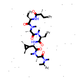 CC(=O)[C@@H](C)N(C)C(=O)[C@H](C)N(C)C(=O)[C@@H](NC(=O)[C@H](CC(C)C)N(C)C(=O)[C@H](C)N(C)C(=O)[C@@H](CC(C)C)NC(=O)[C@H](C)CC(C)C)C1[C@@H](C)[C@@H]1C